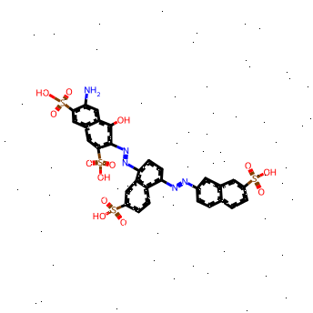 Nc1cc2c(O)c(N=Nc3ccc(N=Nc4ccc5ccc(S(=O)(=O)O)cc5c4)c4ccc(S(=O)(=O)O)cc34)c(S(=O)(=O)O)cc2cc1S(=O)(=O)O